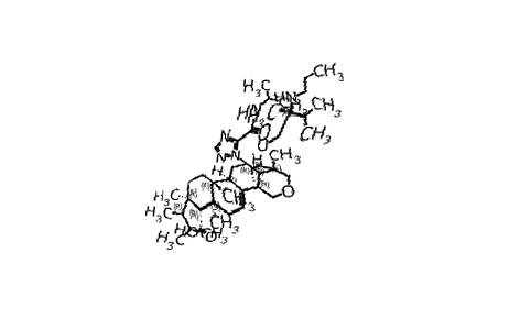 CCCN[C@@](C)(CO[C@H]1[C@H](n2ncnc2C(=O)NC(C)C)C[C@@]23COC[C@]1(C)[C@@H]2CC[C@H]1C3=CC[C@@]2(C)[C@H](C(=O)O)[C@@](C)([C@H](C)C(C)C)CC[C@]12C)C(C)C